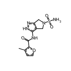 Cc1ccoc1C(=O)Nc1[nH]nc2c1CN(S(N)(=O)=O)C2